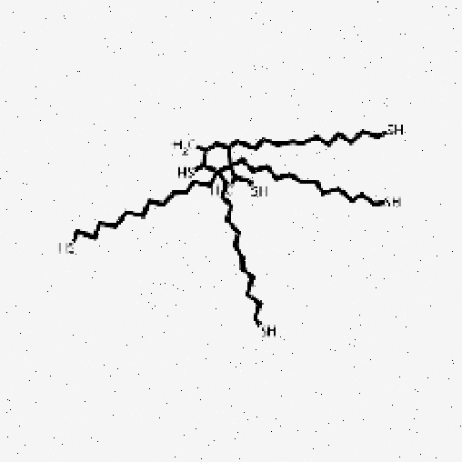 [CH2]C1CC(CCCCCCCCCCCCS)C(CCCCCCCCCCCCS)(C(C)[CH]S)C(CCCCCCCCCCCCS)(CCCCCCCCCCCCS)C1S